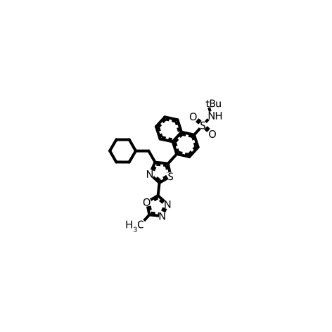 Cc1nnc(-c2nc(CC3CCCCC3)c(-c3ccc(S(=O)(=O)NC(C)(C)C)c4ccccc34)s2)o1